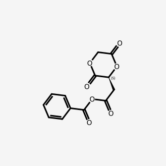 O=C(C[C@@H]1OC(=O)COC1=O)OC(=O)c1ccccc1